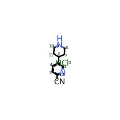 Cl.N#Cc1ccc(C2CCNCC2)cn1